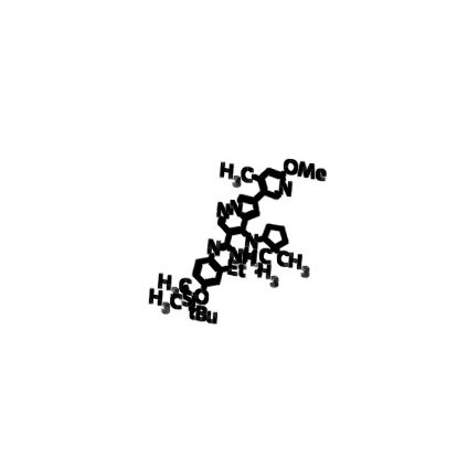 CCc1cc(O[Si](C)(C)C(C)(C)C)ccc1/N=C(\N)c1cnn2cc(-c3cnc(OC)cc3C)cc2c1NC1CCCC1(C)C